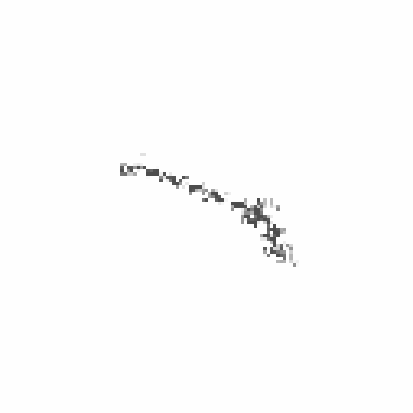 CCC(C)NCCOCCOCCOCCOCCn1nnc(CN2CC(S(C)(=O)=O)C2)c1C